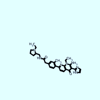 CCN1CCCC1CNC(=O)Cc1ccc(-c2ccc3c(=O)c(-c4ncc[nH]4)c(N)n(CC)c3n2)c(C)c1